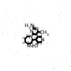 COc1cnccc1C1CCCCCN1c1cc(C)nc(N)n1